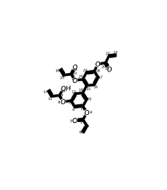 C=CC(=O)Oc1cc(OC(O)C=C)cc(-c2ccc(OC(=O)C=C)cc2OC(=O)C=C)c1